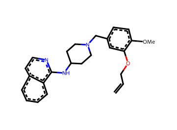 C=CCOc1cc(CN2CCC(Nc3nccc4ccccc34)CC2)ccc1OC